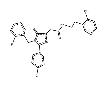 O=C(Cn1nc(-c2ccc(Cl)cc2)n(Cc2ccccc2F)c1=O)NCCc1ccccc1C(F)(F)F